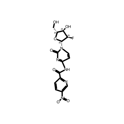 O=C(Nc1ccn([C@@H]2O[C@H](CO)[C@@H](O)[C@H]2F)c(=O)n1)c1ccc([N+](=O)[O-])cn1